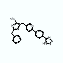 CCCCc1nc(Cc2ccccc2)nn1Cc1ccc(-c2ccc(-c3nnn[nH]3)cc2)nc1